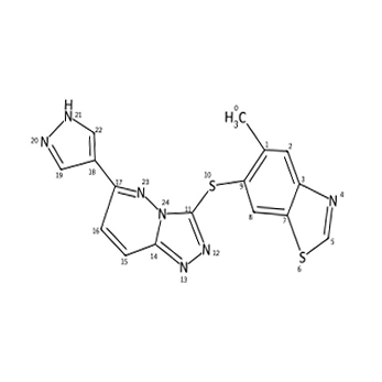 Cc1cc2ncsc2cc1Sc1nnc2ccc(-c3cn[nH]c3)nn12